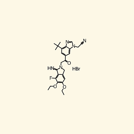 Br.CCOc1cc2c(c(F)c1OCC)C(=N)N(CC(=O)c1cc(C(C)(C)C)c3ncn(CC#N)c3c1)C2